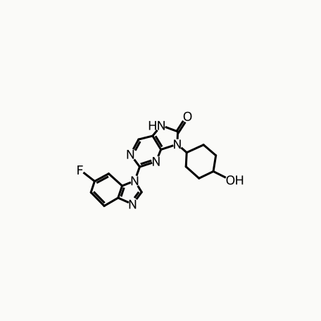 O=c1[nH]c2cnc(-n3cnc4ccc(F)cc43)nc2n1C1CCC(O)CC1